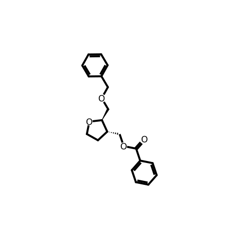 O=C(OC[C@@H]1CCO[C@H]1COCc1ccccc1)c1ccccc1